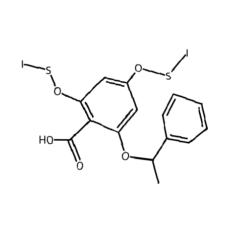 CC(Oc1cc(OSI)cc(OSI)c1C(=O)O)c1ccccc1